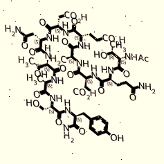 CC(=O)N[C@H](C(=O)N[C@@H](CCC(N)=O)C(=O)N[C@@H](CC(=O)O)C(=O)N[C@@H](C)C(=O)N[C@@H](CCC(=O)O)C(=O)N[C@@H](CC(=O)O)C(=O)N[C@@H](CC(N)=O)C(=O)N[C@H](C(=O)N[C@@H](C)C(=O)N[C@@H](CO)C(=O)N[C@@H](Cc1ccc(O)cc1)C(N)=O)[C@@H](C)O)[C@@H](C)O